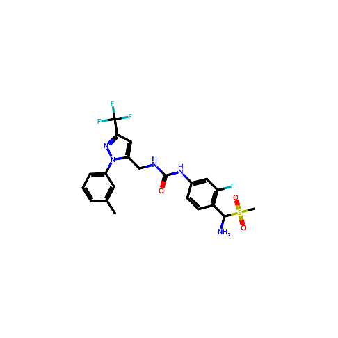 Cc1cccc(-n2nc(C(F)(F)F)cc2CNC(=O)Nc2ccc(C(N)S(C)(=O)=O)c(F)c2)c1